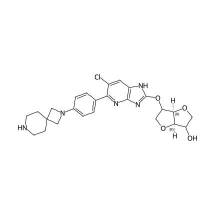 OC1CO[C@@H]2C(Oc3nc4nc(-c5ccc(N6CC7(CCNCC7)C6)cc5)c(Cl)cc4[nH]3)CO[C@H]12